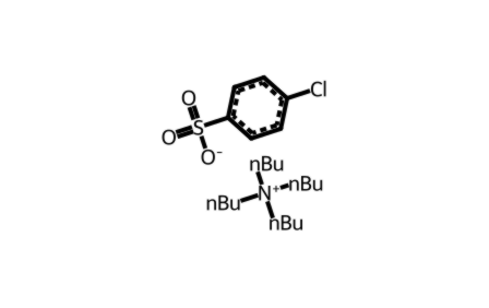 CCCC[N+](CCCC)(CCCC)CCCC.O=S(=O)([O-])c1ccc(Cl)cc1